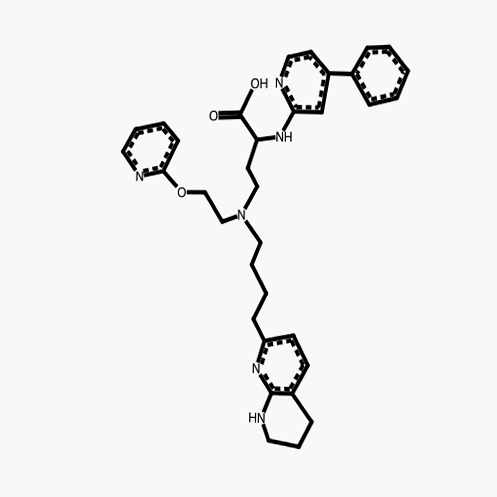 O=C(O)C(CCN(CCCCc1ccc2c(n1)NCCC2)CCOc1ccccn1)Nc1cc(-c2ccccc2)ccn1